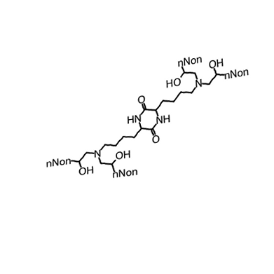 CCCCCCCCCC(O)CN(CCCCC1NC(=O)C(CCCCN(CC(O)CCCCCCCCC)CC(O)CCCCCCCCC)NC1=O)CC(O)CCCCCCCCC